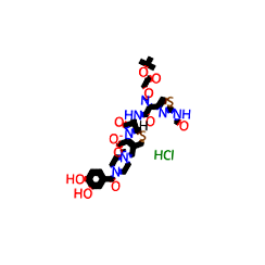 CC(C)(C)OC(=O)CON=C(C(=O)N[C@@H]1C(=O)N2C(C(=O)[O-])=C(C[N+]3(C)CCN(C(=O)c4ccc(O)c(O)c4)CC3)CS[C@@H]12)c1csc(NC=O)n1.Cl